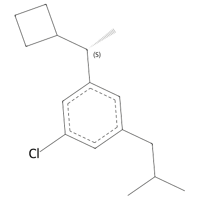 CC(C)Cc1cc(Cl)cc([C@@H](C)C2CCC2)c1